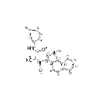 Cc1cccc(NC(=O)C(C#N)C(=O)c2nn(C)c3c2ccc2ccccc23)c1